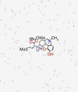 CO[C@@]12CCC(N[C@@H](CCSC)C(=O)OC(C)(C)C)[C@@H]3Oc4c(O)ccc5c4[C@@]31CCN(C)C2C5